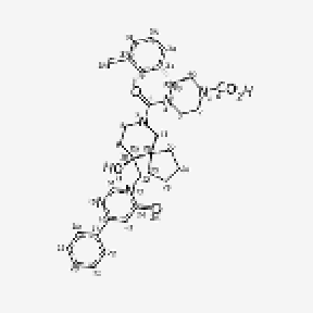 O=C(O)N1CCN(C(=O)N2CC[C@@](O)(Cn3cnc(-c4ccccc4)cc3=O)C3(CCCC3)C2)[C@H](c2cccc(F)c2)C1